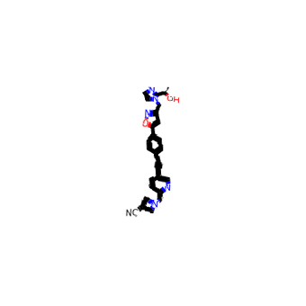 C[C@H](O)c1nccn1Cc1cc(-c2ccc(C#Cc3ccc(CN4CC(C#N)C4)nc3)cc2)on1